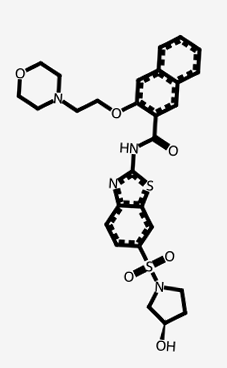 O=C(Nc1nc2ccc(S(=O)(=O)N3CC[C@@H](O)C3)cc2s1)c1cc2ccccc2cc1OCCN1CCOCC1